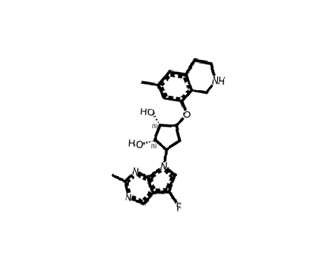 Cc1cc2c(c(OC3CC(n4cc(F)c5cnc(C)nc54)[C@H](O)[C@@H]3O)c1)CNCC2